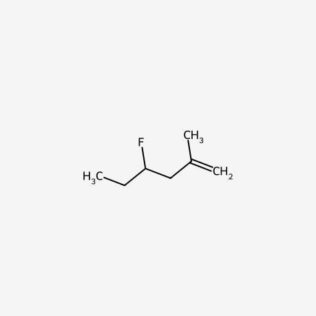 C=C(C)CC(F)CC